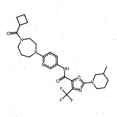 CC1CCCN(c2nc(C(F)(F)F)c(C(=O)Nc3ccc(N4CCCN(C(=O)C5CCC5)CC4)nc3)o2)C1